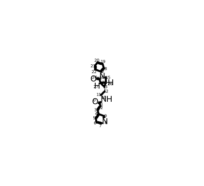 O=C(/C=C/c1cccnc1)NCC[C@H]1[C@@H]2CN(c3ccccc3)C(=O)[C@H]12